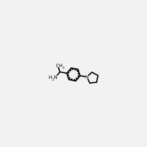 CC(N)c1ccc(N2CCCC2)cc1